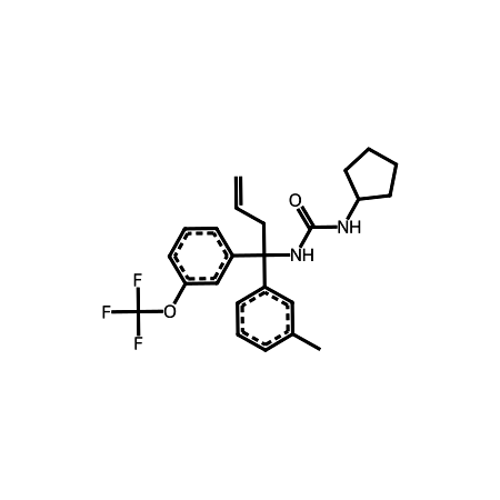 C=CCC(NC(=O)NC1CCCC1)(c1cccc(C)c1)c1cccc(OC(F)(F)F)c1